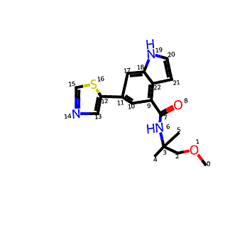 COCC(C)(C)NC(=O)c1cc(-c2cncs2)cc2[nH]ccc12